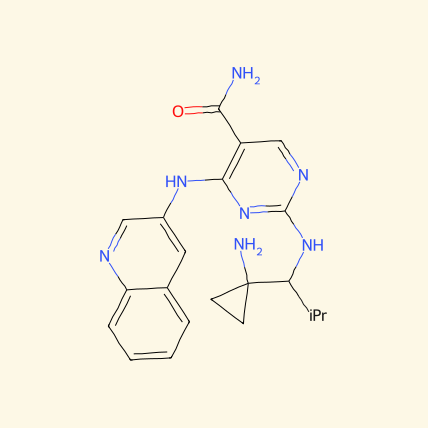 CC(C)C(Nc1ncc(C(N)=O)c(Nc2cnc3ccccc3c2)n1)C1(N)CC1